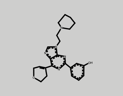 Oc1cccc(-c2nc(C3=CCOCC3)c3ncn(CCN4CCCCC4)c3n2)c1